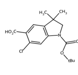 CC(C)(C)OC(=O)N1CC(C)(C)c2cc(C(=O)O)c(Cl)cc21